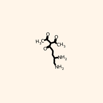 CC(=O)C(C(C)=O)C(=O)CCC(N)CN